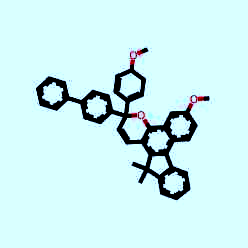 COc1ccc2c3c(c4c(c2c1)OC(C1=CCC(OC)C=C1)(c1ccc(-c2ccccc2)cc1)C=C4)C(C)(C)c1ccccc1-3